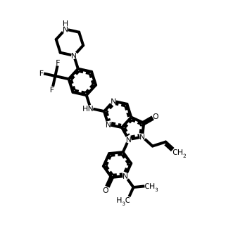 C=CCn1c(=O)c2cnc(Nc3ccc(N4CCNCC4)c(C(F)(F)F)c3)nc2n1-c1ccc(=O)n(C(C)C)c1